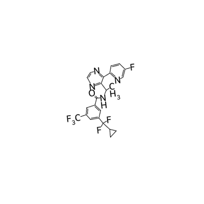 CC(NC(=O)c1cc(C(F)(F)F)cc(C(F)(F)C2CC2)c1)c1nccnc1-c1ccc(F)cn1